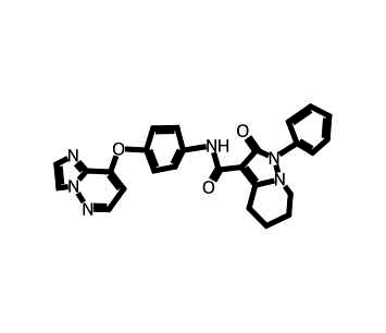 O=C(Nc1ccc(Oc2ccnn3ccnc23)cc1)c1c2n(n(-c3ccccc3)c1=O)CCCC2